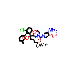 COCCCC[C@](O)(c1cccc(Cl)c1-c1cccc(C)c1)[C@@H]1CN(C(=O)N2C[C@@H](N)[C@@H](O)C2)CCO1